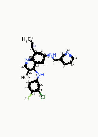 C/C=C/c1cc(NCc2cccnc2)cc2c(Nc3ccc(F)c(Cl)c3)c(C#N)cnc12